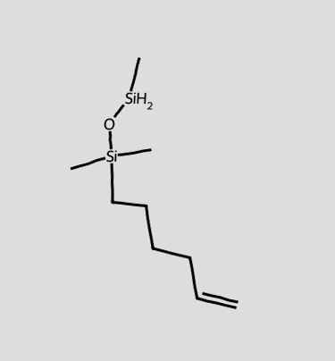 C=CCCCC[Si](C)(C)O[SiH2]C